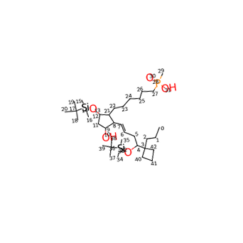 CCCC1(C(CC=CC2C(O)CC(O[Si](C)(C)C(C)(C)C)C2CCCCCCP(C)(=O)O)O[Si](C)(C)C(C)(C)C)CCC1